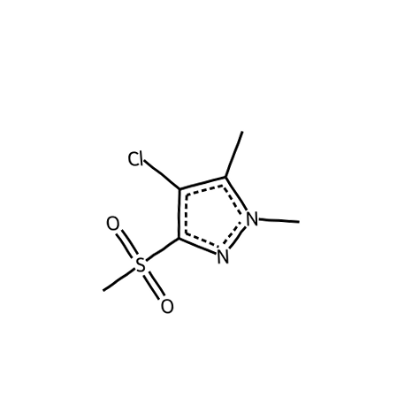 Cc1c(Cl)c(S(C)(=O)=O)nn1C